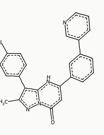 Cc1nn2c(=O)cc(-c3cccc(-c4cccnc4)c3)[nH]c2c1-c1ccc(Cl)cc1